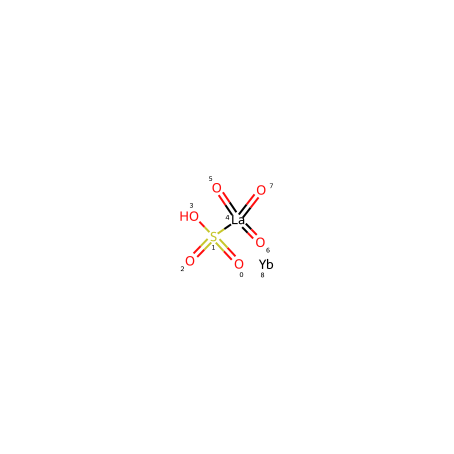 O=[S](=O)(O)[La](=[O])(=[O])=[O].[Yb]